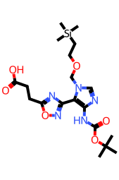 CC(C)(C)OC(=O)Nc1ncn(COCC[Si](C)(C)C)c1-c1noc(CCC(=O)O)n1